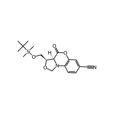 CC(C)(C)[Si](C)(C)OC[C@@H]1OCN2c3ccc(C#N)cc3OC(=O)[C@H]12